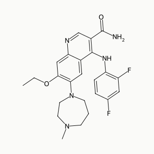 CCOc1cc2ncc(C(N)=O)c(Nc3ccc(F)cc3F)c2cc1N1CCCN(C)CC1